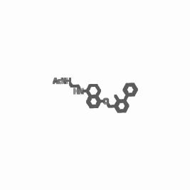 CC(=O)NCCNC1CCCc2c(OCc3cccc(-c4ccccc4)c3C)cccc21